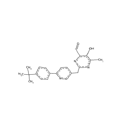 Cc1nc(Cc2ccc(-c3ccc(C(C)(C)C)cc3)nc2)nc([C]=O)c1O